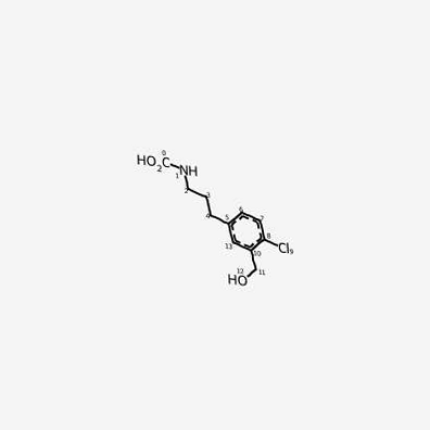 O=C(O)NCCCc1ccc(Cl)c(CO)c1